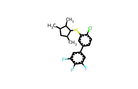 CC1CC(C)C(Sc2cc(-c3cc(F)c(F)c(F)c3)ccc2Cl)C1C